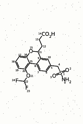 NS(=O)(=O)Cc1ccc2c(c1)C(CCC(=O)O)Oc1cccc(OC(F)F)c1-2